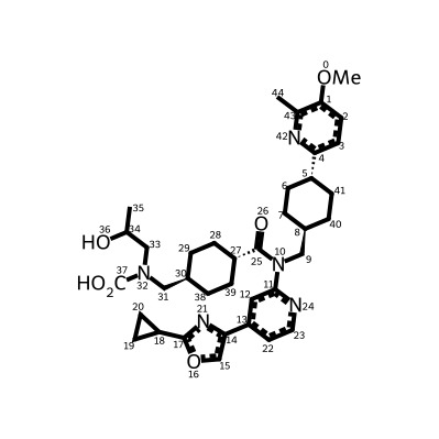 COc1ccc([C@H]2CC[C@H](CN(c3cc(-c4coc(C5CC5)n4)ccn3)C(=O)[C@H]3CC[C@H](CN(CC(C)O)C(=O)O)CC3)CC2)nc1C